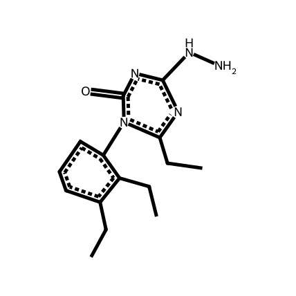 CCc1cccc(-n2c(CC)nc(NN)nc2=O)c1CC